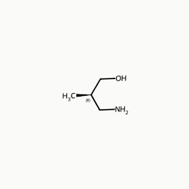 C[C@H](CN)CO